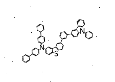 c1ccc2c(c#1)c1cc(-c3cccc(-c4ccc5sc6ccc(N(c7ccc(-c8ccccc8)cc7)c7ccc(C8C=CC=CC8)cc7)cc6c5c4)c3)ccc1n2-c1ccccc1